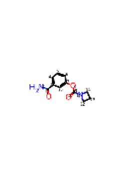 NC(=O)c1cccc(OC(=O)N2CCC2)c1